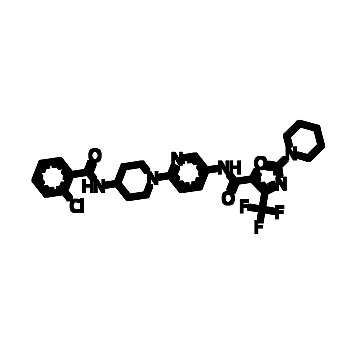 O=C(NC1CCN(c2ccc(NC(=O)c3oc(N4CCCCC4)nc3C(F)(F)F)cn2)CC1)c1ccccc1Cl